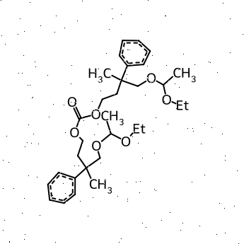 CCOC(C)OCC(C)(CCOC(=O)OCCC(C)(COC(C)OCC)c1ccccc1)c1ccccc1